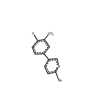 Cc1cc(-c2ccc(C(C)C)nc2)ccc1F